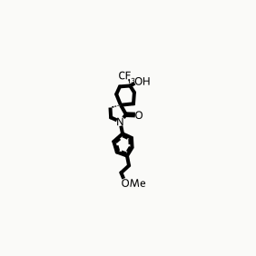 COCCc1ccc(N2CC[C@]3(CC[C@@](O)(C(F)(F)F)CC3)C2=O)cc1